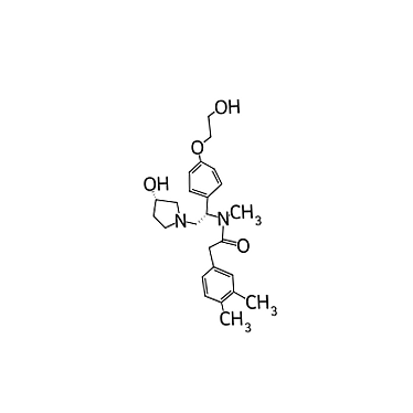 Cc1ccc(CC(=O)N(C)[C@H](CN2CC[C@H](O)C2)c2ccc(OCCO)cc2)cc1C